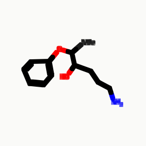 CNC(Oc1ccccc1)C(O)CCCN